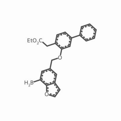 Bc1cc(COc2cc(-c3ccccc3)ccc2CC(=O)OCC)cc2ccoc12